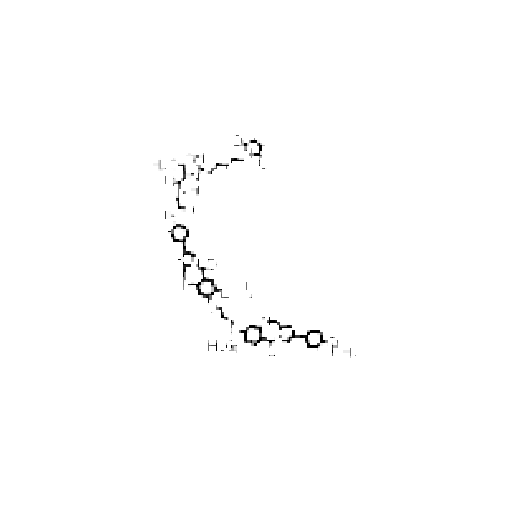 COc1ccc(C2=CN3C(=O)c4cc(OC)c(OCCCOc5cc6c(cc5OC)C(=O)N5C=C(c7ccc(NC(=O)CNC(=O)C(NC(=O)CCCCCN8C(=O)C=CC8=O)C(C)C)cc7)CC5C=N6)cc4N=CC3C2)cc1